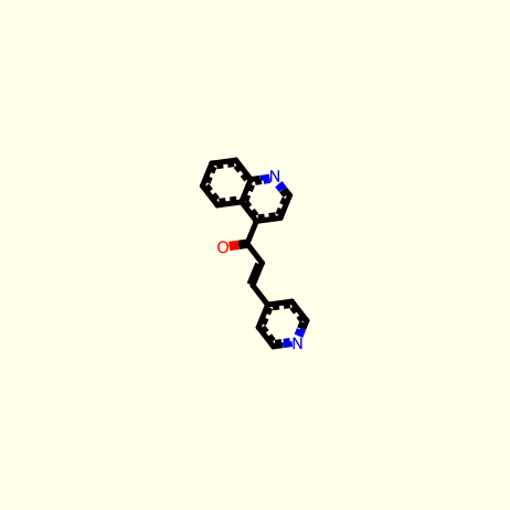 O=C(C=Cc1ccncc1)c1ccnc2ccccc12